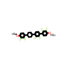 CCCCOc1ccc(-c2ccc(C3=CCC(c4ccc(OCCCC)c(F)c4F)CC3)c(F)c2F)c(F)c1F